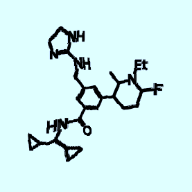 CCN1C(F)CCC(c2cc(CNC3=NCCN3)cc(C(=O)NC(C3CC3)C3CC3)c2)C1C